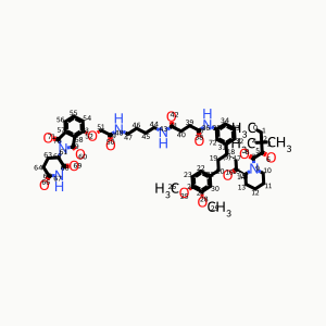 CCC(C)(C)C(=O)C(=O)N1CCCC[C@H]1C(=O)C[C@H](CCc1ccc(OC)c(OC)c1)c1cccc(NC(=O)CCC(=O)NCCCCNC(=O)COc2cccc3c2C(=O)N(C2CCC(=O)NC2=O)C3=O)c1